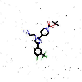 CC(C)(C)OC(=O)N1CCC(c2nc(-c3ccc(F)c(C(F)(F)F)c3)cn2CCN)CC1